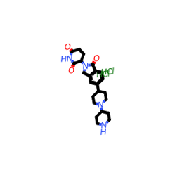 Cl.Cl.O=C1CCC(N2Cc3cc(C4CCN(C5CCNCC5)CC4)ccc3C2=O)C(=O)N1